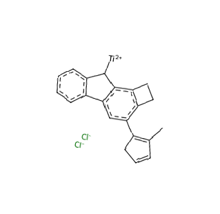 CC1=C(c2cc3c(c4c2CC4)[CH]([Ti+2])c2ccccc2-3)CC=C1.[Cl-].[Cl-]